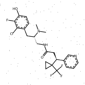 CN(C)[C@H](CNC(=O)C[C@@H](c1cccnc1)C1(C(F)(F)F)CC1)Cc1ccc(O)c(F)c1Cl